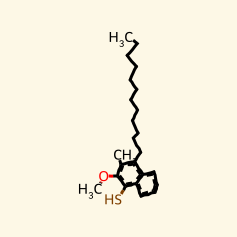 CCCCCCCCCCCCc1c(C)c(OC)c(S)c2ccccc12